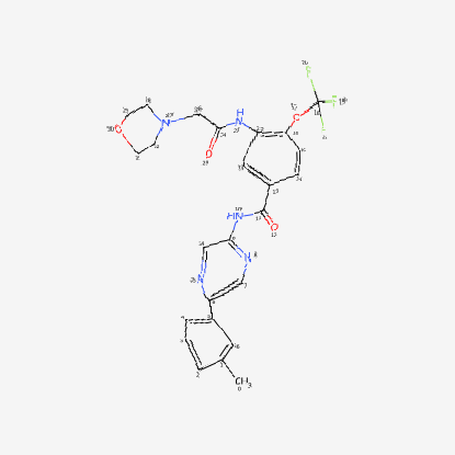 Cc1cccc(-c2cnc(NC(=O)c3ccc(OC(F)(F)F)c(NC(=O)CN4CCOCC4)c3)cn2)c1